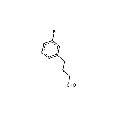 O=CCSCc1cncc(Br)c1